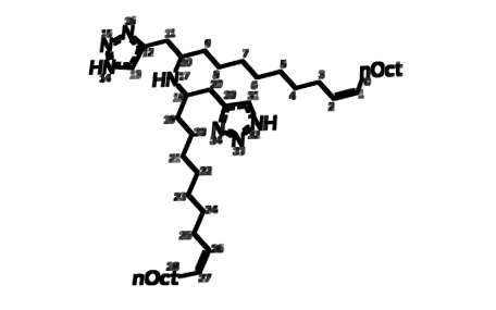 CCCCCCCC/C=C\CCCCCCCC(Cc1c[nH]nn1)NC(CCCCCCC/C=C\CCCCCCCC)Cc1c[nH]nn1